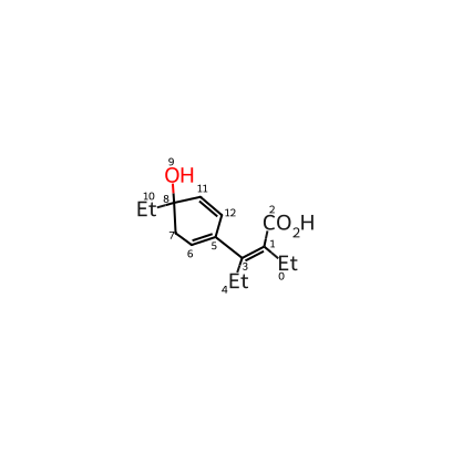 CCC(C(=O)O)=C(CC)C1=CCC(O)(CC)C=C1